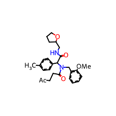 COc1ccccc1CN(C(=O)CCC(C)=O)C(C(=O)NCC1CCCO1)c1ccc(C)cc1